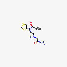 CCCCC(=O)N(CCNCC(N)=O)[C@H]1CSCS1